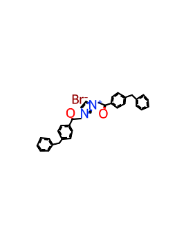 O=C(Cn1cc[n+](CC(=O)c2ccc(Cc3ccccc3)cc2)c1)c1ccc(Cc2ccccc2)cc1.[Br-]